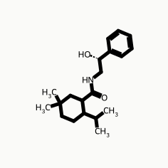 CC(C)C1CCC(C)(C)CC1C(=O)NC[C@H](O)c1ccccc1